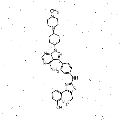 CCc1sc(Nc2ccc(-c3nn(C4CCC(N5CCN(C)CC5)CC4)c4ncnc(N)c34)cc2)nc1-c1cccc(C)c1